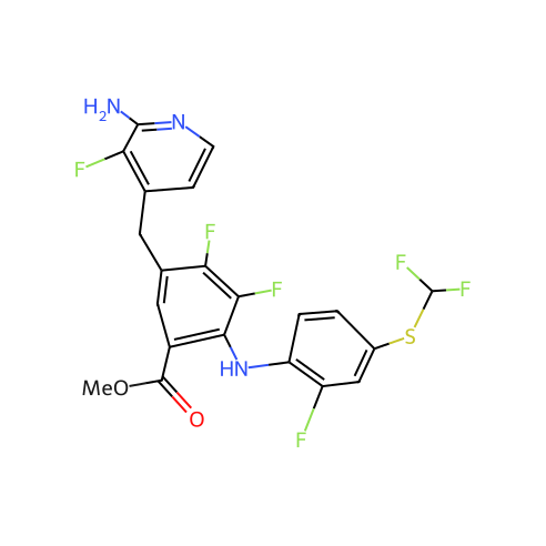 COC(=O)c1cc(Cc2ccnc(N)c2F)c(F)c(F)c1Nc1ccc(SC(F)F)cc1F